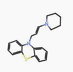 C(=CN1CCCCC1)CN1c2ccccc2Sc2ccccc21